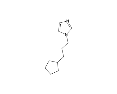 c1cn(CCCC2CCCC2)cn1